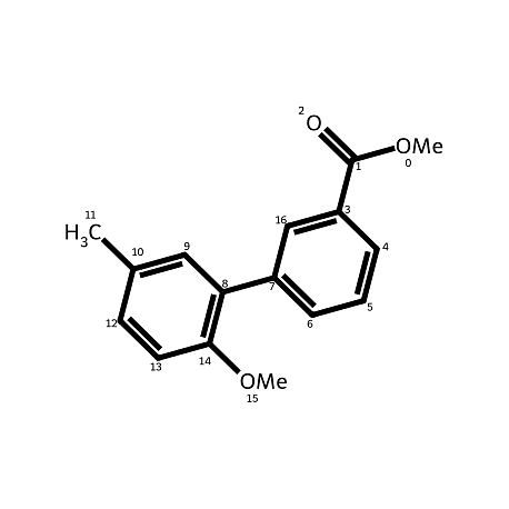 COC(=O)c1cccc(-c2cc(C)ccc2OC)c1